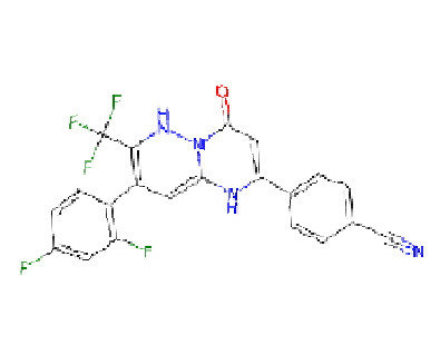 N#Cc1ccc(C2=CC(=O)N3NC(C(F)(F)F)=C(c4ccc(F)cc4F)C=C3N2)cc1